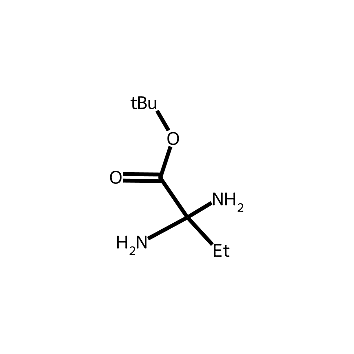 CCC(N)(N)C(=O)OC(C)(C)C